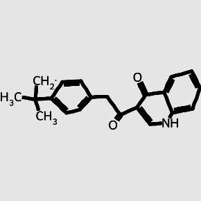 [CH2]C(C)(C)c1ccc(CC(=O)c2c[nH]c3ccccc3c2=O)cc1